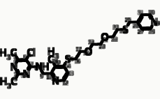 Cc1nc(C)c(Cl)c(NCc2nccc(SCCOCCOCCSCc3ccncc3)c2C)n1